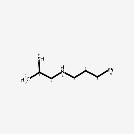 CC(C)CCCNCC(C)S